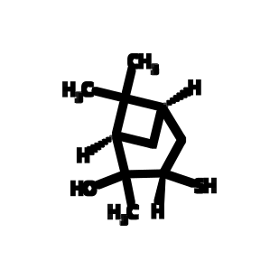 CC1(C)[C@@H]2C[C@H]1C(C)(O)[C@@H](S)C2